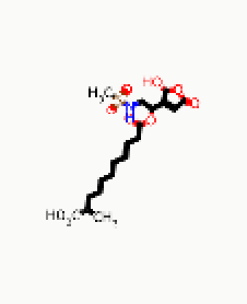 CC(CCCCCCCCC(=O)OC(CNS(C)(=O)=O)C1=CC(=O)OC1O)C(=O)O